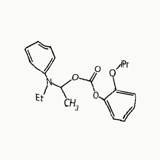 CCN(c1ccccc1)C(C)OC(=O)Oc1ccccc1OC(C)C